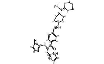 CCN(C1CCCCC1)[C@H]1CC[C@H](NCc2ccc(C(=O)N(Cc3ncc[nH]3)Cc3ncc[nH]3)cc2)CC1